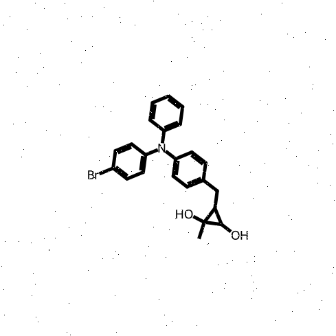 CC1(O)C(O)C1Cc1ccc(N(c2ccccc2)c2ccc(Br)cc2)cc1